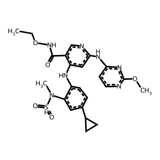 CCONC(=O)c1cnc(Nc2ccnc(OC)n2)cc1Nc1ccc(C2CC2)cc1N(C)[SH](=O)=O